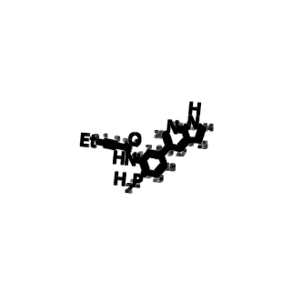 CCC#CC(=O)Nc1cc(-c2cnc3[nH]ccc3c2)ccc1P